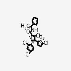 Cc1c(C(=O)N[C@H](C)c2ccccc2)nn(-c2ccc(Cl)cc2Cl)c1-c1ccc(Cl)s1